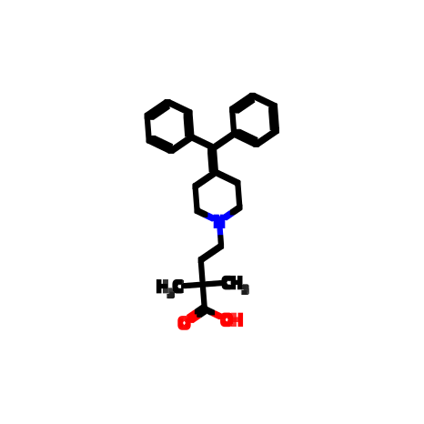 CC(C)(CCN1CCC(=C(c2ccccc2)c2ccccc2)CC1)C(=O)O